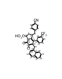 N#Cc1ccc(CN2CC(C(=O)O)n3c2c(-c2cccc(C(F)(F)F)c2)c(Cc2cccc4ccccc24)c(Cl)c3=O)cc1